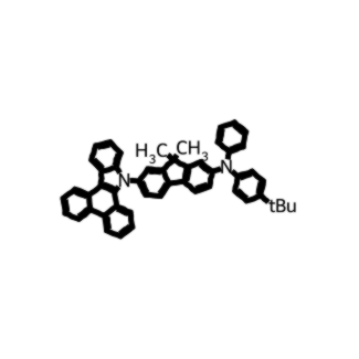 CC(C)(C)c1ccc(N(c2ccccc2)c2ccc3c(c2)C(C)(C)c2cc(-n4c5ccccc5c5c6ccccc6c6ccccc6c54)ccc2-3)cc1